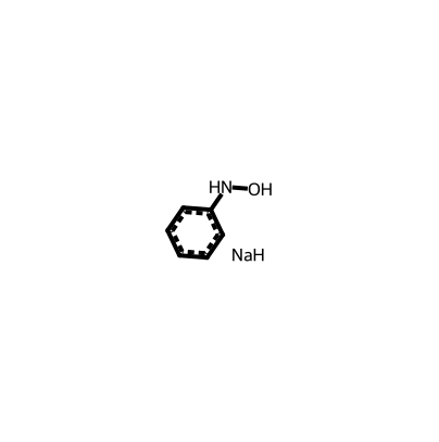 ONc1ccccc1.[NaH]